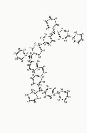 c1ccc(-c2ccc(N(c3ccccc3)c3ccc(-c4ccc(N(c5ccccc5)c5ccc6c(ccc7cc(N(c8ccccc8)c8ccc(-c9ccccc9)cc8)ccc76)c5)cc4)cc3)cc2)cc1